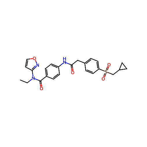 CCN(C(=O)c1ccc(NC(=O)Cc2ccc(S(=O)(=O)CC3CC3)cc2)cc1)c1ccon1